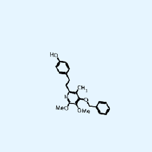 COc1nc(CCc2ccc(O)cc2)c(C)c(OCc2ccccc2)c1OC